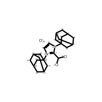 ClC(Cl)c1n(C23CC4CC(CC(C4)C2)C3)cc[n+]1C12CC3CC(CC(C3)C1)C2.[Cl-]